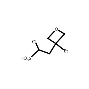 CCC1(CC(Cl)S(=O)(=O)O)COC1